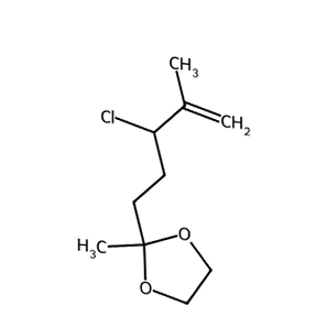 C=C(C)C(Cl)CCC1(C)OCCO1